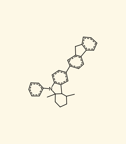 CC1CCCC2(C)C1c1cc(-c3ccc4c(c3)Cc3ccccc3-4)ccc1N2c1ccccc1